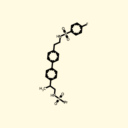 CC(CNS(=O)(=O)C(C)C)c1ccc(-c2ccc(CCNS(=O)(=O)c3ccc(F)cc3)cc2)cc1